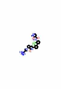 COc1nc(-c2cccc(-c3cccc(NC(=O)c4ccnn(C)c4=O)c3Cl)c2Cl)cc2c1C(N1CC(c3nnn[nH]3)C1)CC2